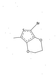 Cc1sc(Br)c2c1OCCO2